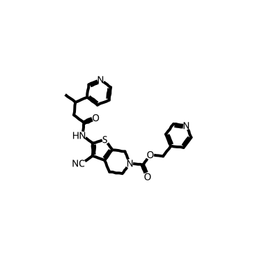 CC(CC(=O)Nc1sc2c(c1C#N)CCN(C(=O)OCc1ccncc1)C2)c1cccnc1